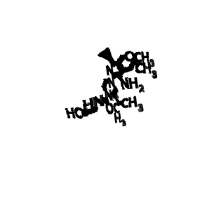 C#CCNC(=O)N1CCN(c2nc(C3CC3)c3c(c2N)CC(C)(C)OC3)C[C@H]1C(C)C